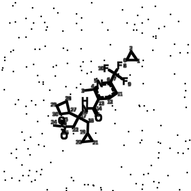 C1CC1.Cc1nc(C(F)(F)F)ccc1C(=O)NC(CC1CC1)(CS(C)(=O)=O)C1CCC1